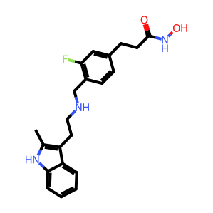 Cc1[nH]c2ccccc2c1CCNCc1ccc(CCC(=O)NO)cc1F